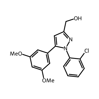 COc1cc(OC)cc(-c2cc(CO)nn2-c2ccccc2Cl)c1